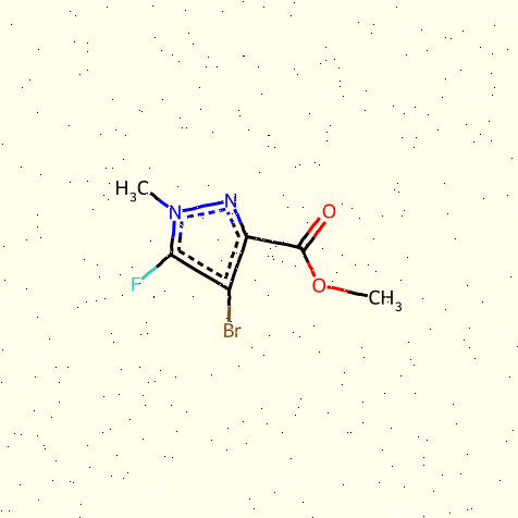 COC(=O)c1nn(C)c(F)c1Br